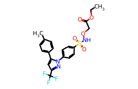 CCOC(=O)CONS(=O)(=O)c1ccc(-n2nc(C(F)(F)F)cc2-c2ccc(C)cc2)cc1